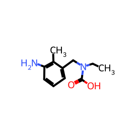 CCN(Cc1cccc(N)c1C)C(=O)O